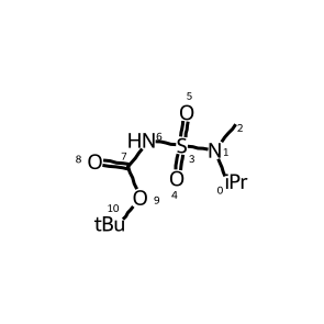 CC(C)N(C)S(=O)(=O)NC(=O)OC(C)(C)C